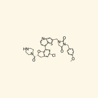 COc1ccc(CN2C(=O)CN(Cc3cc4nccc(-c5cc(Cl)cc6c5O[C@@H](C(=O)N5CCNCC5)C6)c4s3)C2=O)cc1